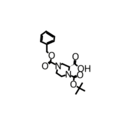 CC(C)(C)OC(=O)N1CCN(C(=O)OCc2ccccc2)C[C@@H]1C(=O)O